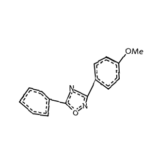 COc1ccc(-c2noc(-c3ccccc3)n2)cc1